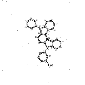 N#Cc1cccc(-n2c3ccccc3c3c4c5ccccc5n(-c5ccccc5)c4ccc32)c1